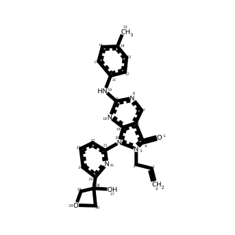 C=CCn1c(=O)c2cnc(Nc3ccc(C)cc3)nc2n1-c1cccc(C2(O)COC2)n1